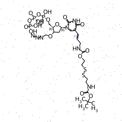 CC(C)(C)OC(=O)NCCSSCCOC(=O)NC/C=C/c1cn([C@H]2CC(OCN=[N+]=[N-])[C@@H](COP(=O)(O)OP(=O)(O)OP(=O)(O)O)O2)c(=O)[nH]c1=O